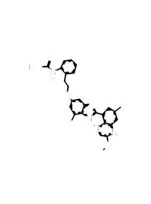 COc1cnc2c(-c3nc4c(C)cc(OCCc5ccccc5NC(=O)O)cc4s3)cc(C)cc2n1